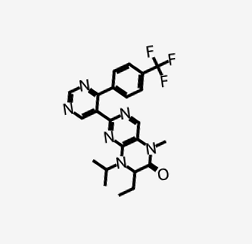 CCC1C(=O)N(C)c2cnc(-c3cncnc3-c3ccc(C(F)(F)F)cc3)nc2N1C(C)C